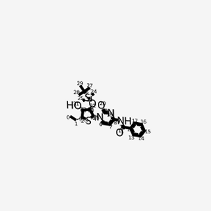 CC[C@H]1S[C@@H](n2ccc(NC(=O)c3ccccc3)nc2=O)[C@H](O[Si](C)(C)C(C)(C)C)[C@@H]1O